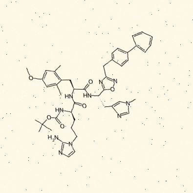 COc1cc(C)c(C[C@H](NC(=O)[C@@H](CCCn2ccnc2N)NC(=O)OC(C)(C)C)C(=O)N[C@@H](Cc2cn(C)cn2)c2nc(Cc3ccc(-c4ccccc4)cc3)no2)c(C)c1